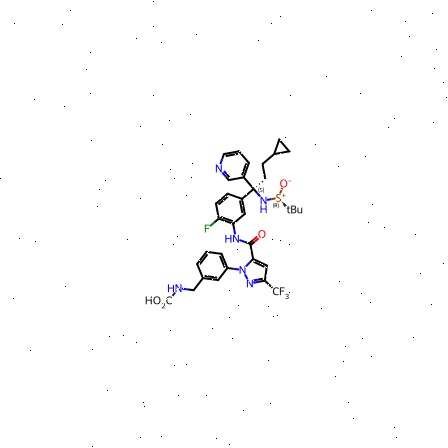 CC(C)(C)[S@+]([O-])N[C@](CCC1CC1)(c1cccnc1)c1ccc(F)c(NC(=O)c2cc(C(F)(F)F)nn2-c2cccc(CNC(=O)O)c2)c1